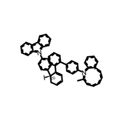 Cc1cccccc2ccccc2n1-c1ccc(-c2ccccc2C2=CC=CC[C@]2(I)c2ccc(-n3c4ccccc4c4ccccc43)cc2)cc1